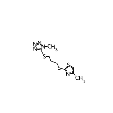 Cc1csc(SCCCSc2nnnn2C)n1